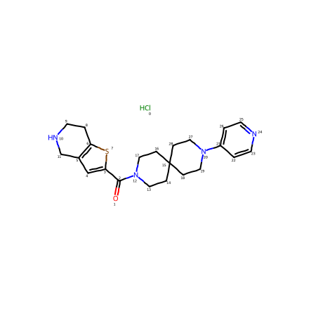 Cl.O=C(c1cc2c(s1)CCNC2)N1CCC2(CC1)CCN(c1ccncc1)CC2